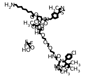 Cc1ncsc1-c1ccc(CNC(=O)[C@@H]2C[C@@H](OC(=O)CCCCCCCN)CN2C(=O)[C@@H](NC(=O)COCCOCCOCCNC(=O)C[C@@H]2N=C(c3ccc(Cl)cc3)c3c(sc(C)c3C)-n3c(C)nnc32)C(C)(C)C)cc1.O=C(O)C(F)(F)F